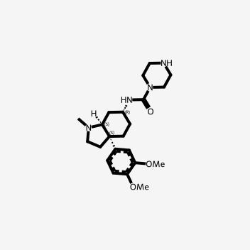 COc1ccc([C@@]23CC[C@@H](NC(=O)N4CCNCC4)C[C@@H]2N(C)CC3)cc1OC